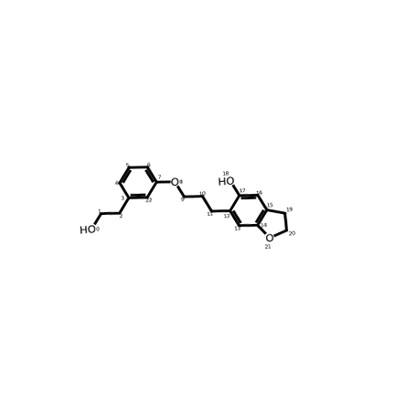 OCCc1cccc(OCCCc2cc3c(cc2O)CCO3)c1